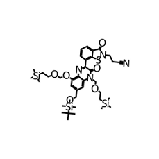 CC(C)(C)[Si](C)(C)OCc1cc(OCOCC[Si](C)(C)C)c2nc(-c3cccc4c(=O)n(CCC#N)sc34)c(=O)n(COCC[Si](C)(C)C)c2c1